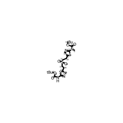 CN(C(=O)OC(C)(C)C)c1nnc(CCS(=O)(=O)CCc2nnc(NC(=O)OC(C)(C)C)s2)s1